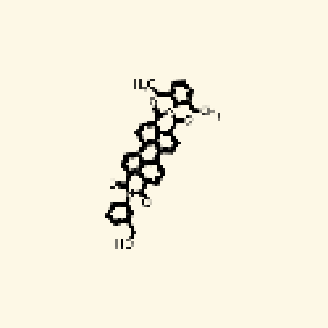 CCc1cccc(CC)c1N1C(=O)c2ccc3c4ccc5c6c(ccc(c7ccc(c2c37)C1=O)c64)C(=O)N(c1cccc(CO)c1)C5=O